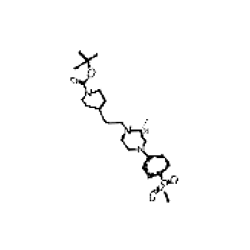 C[C@@H]1CN(c2ccc(S(C)(=O)=O)cc2)CCN1CCC1CCN(C(=O)OC(C)(C)C)CC1